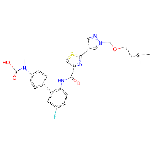 CN(C(=O)O)c1ccc(-c2cc(F)ccc2NC(=O)c2csc(-c3cnn(COCC[Si](C)(C)C)c3)n2)cc1